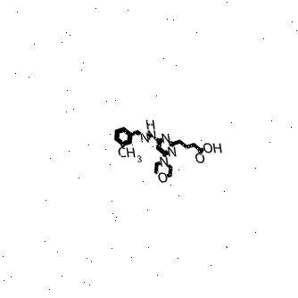 Cc1cccc(C=NNc2cc(N3CCOCC3)nc(CCCC(=O)O)n2)c1